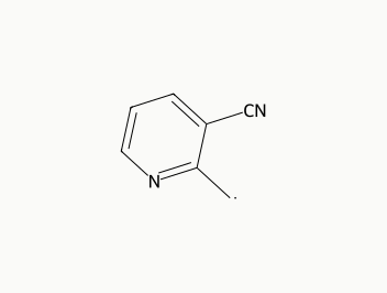 [CH2]c1ncccc1C#N